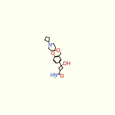 CNC(=O)C1CC(O)(c2ccc3c(c2)COC2(CCN(C4CCC4)CC2)O3)C1